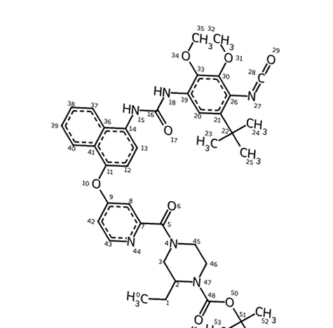 CCC1CN(C(=O)c2cc(Oc3ccc(NC(=O)Nc4cc(C(C)(C)C)c(N=C=O)c(OC)c4OC)c4ccccc34)ccn2)CCN1C(=O)OC(C)(C)C